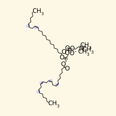 CCCCC/C=C\C/C=C\C/C=C\C/C=C\CCCCCC(=O)OC[C@H](COP(=O)([O-])OCC[N+](C)(C)C)OC(=O)CCCCCCCCCCC/C=C\C/C=C\CCCCC